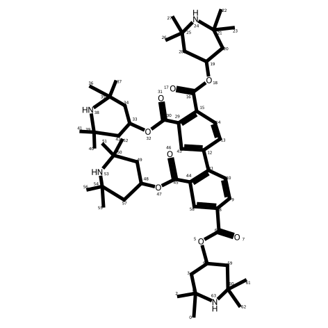 CC1(C)CC(OC(=O)c2ccc(-c3ccc(C(=O)OC4CC(C)(C)NC(C)(C)C4)c(C(=O)OC4CC(C)(C)NC(C)(C)C4)c3)c(C(=O)OC3CC(C)(C)NC(C)(C)C3)c2)CC(C)(C)N1